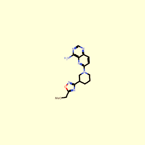 COCc1nc(C2CCCN(c3ccc4ncnc(N)c4n3)C2)no1